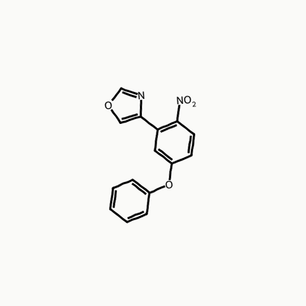 O=[N+]([O-])c1ccc(Oc2ccccc2)cc1-c1cocn1